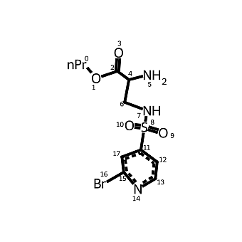 CCCOC(=O)C(N)CNS(=O)(=O)c1ccnc(Br)c1